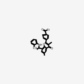 CCC(=O)c1ccc(-c2oc3c(C(C)Nc4ccccc4C(=O)O)cc(C)cc3c(=O)c2C)cc1